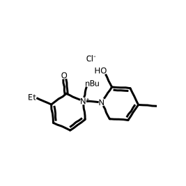 CCCC[N+]1(N2CC=C(C)C=C2O)C=CC=C(CC)C1=O.[Cl-]